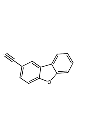 [C]#Cc1ccc2oc3ccccc3c2c1